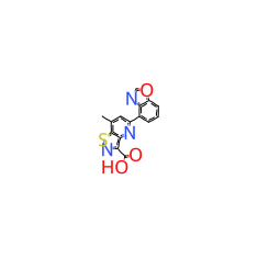 Cc1cc(-c2cccc3ocnc23)nc2c(C(=O)O)nsc12